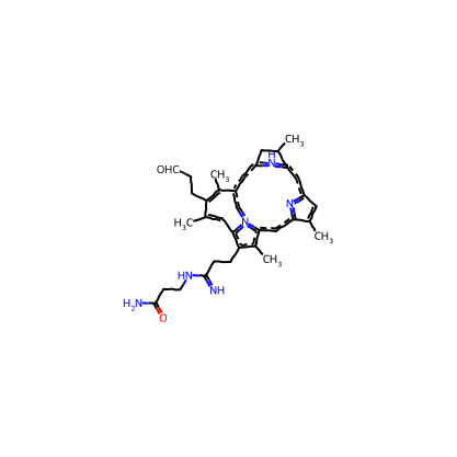 CC1=Cc2cc3[nH]c(cc4cn5c(c(CCC(=N)NCCC(N)=O)c(C)c5cc1n2)/C=C(C)/C(CCC=O)=C\4C)CC3C